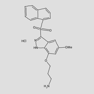 COc1cc(OCCCN)c2[nH]nc(S(=O)(=O)c3cccc4ccccc34)c2c1.Cl